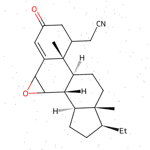 CC[C@H]1CC[C@H]2[C@@H]3C4OC4C4=CC(=O)CC(CC#N)[C@]4(C)[C@H]3CC[C@]12C